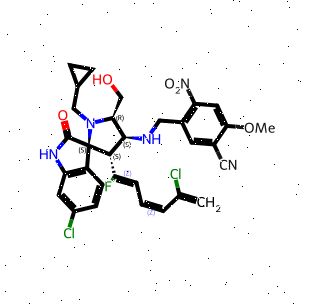 C=C(Cl)/C=C\C=C(/F)[C@H]1[C@H](NCc2cc(C#N)c(OC)cc2[N+](=O)[O-])[C@H](CO)N(CC2CC2)[C@@]12C(=O)Nc1cc(Cl)ccc12